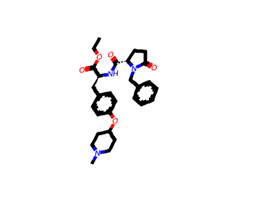 CCOC(=O)[C@H](Cc1ccc(OC2CCN(C)CC2)cc1)NC(=O)[C@@H]1CCC(=O)N1Cc1ccccc1